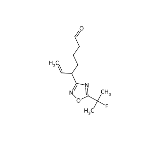 C=CC(CCCC=O)c1noc(C(C)(C)F)n1